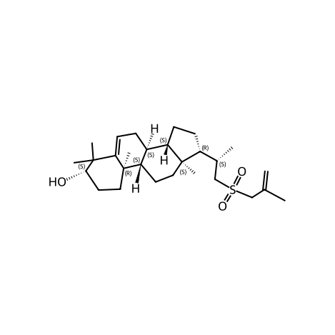 C=C(C)CS(=O)(=O)C[C@@H](C)[C@H]1CC[C@H]2[C@@H]3CC=C4C(C)(C)[C@@H](O)CC[C@]4(C)[C@H]3CC[C@]12C